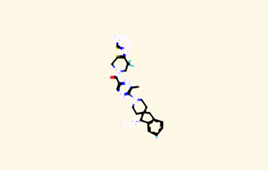 Nc1nc2c(s1)CN(C(=O)c1cnc(N3CCC4(CC3)Cc3ccc(F)cc3[C@H]4N)c(CO)n1)CC2(F)F